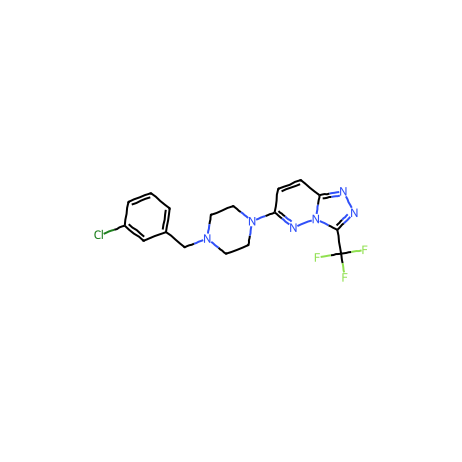 FC(F)(F)c1nnc2ccc(N3CCN(Cc4cccc(Cl)c4)CC3)nn12